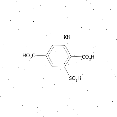 O=C(O)c1ccc(C(=O)O)c(S(=O)(=O)O)c1.[KH]